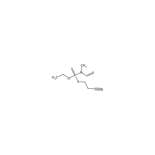 CCOP(=S)(SCCC#N)N(C)C=S